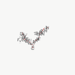 Cc1ncsc1-c1ccc([C@H](C)NC(=O)[C@@H]2CCCN2C(=O)[C@@H](NC(=O)CCCCC(=O)N2CCN(CCN(C)CC3(C)CCC(c4ccc(Cl)cc4)=C(CN4CCN(c5ccc(C(=O)NS(=O)(=O)c6ccc(N[C@H](CCN7CCOCC7)CSc7ccccc7)c(S(=O)(=O)C(F)(F)F)c6)cc5)CC4)C3)CC2)C(C)(C)C)cc1